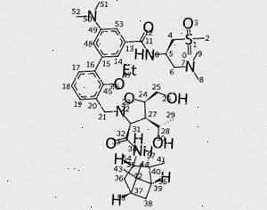 C=S(C)(=O)C[C@@H](CN(C)C)NC(=O)c1cc(-c2cccc(CN3O[C@@H](CO)[C@@H]([C@H](C)O)[C@H]3C(=O)N[C@H]3C[C@H]4C[C@@H]([C@@H]3C)C4(C)C)c2OCC)cc(N(C)C)c1